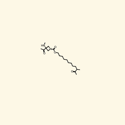 CNC1(C(C)=O)CN(C(=O)OCCCCCCCCCC(C)C(C)=O)C1